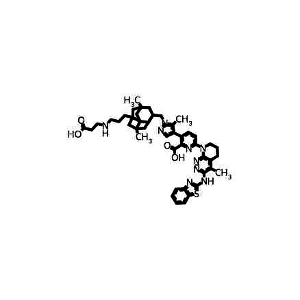 Cc1c(Nc2nc3ccccc3s2)nnc2c1CCCN2c1ccc(-c2cnn(CC34CC5(C)CC6(CCCNCCC(=O)O)CC(C)(C3)C6(C5)C4)c2C)c(C(=O)O)n1